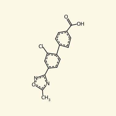 Cc1nc(-c2ccc(-c3ccc(C(=O)O)cc3)c(Cl)c2)no1